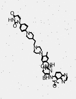 COc1cc(N2CCN(CCC3CCN(c4ccc(-n5ccc(=O)[nH]c5=O)cc4)CC3)CC2)c(C)cc1Nc1ncc(Br)c(Nc2ccc3nccnc3c2P(C)(C)=O)n1